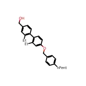 CCCCCc1ccc(COc2ccc(-c3ccc(CO)cc3CC)c(CC)c2)cc1